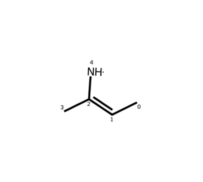 CC=C(C)[NH]